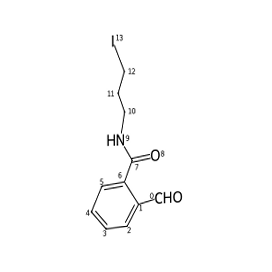 O=Cc1ccccc1C(=O)NCCCI